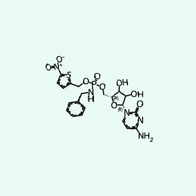 Nc1ccn([C@@H]2O[C@H](COP(=O)(NCc3ccccc3)OCc3ccc([N+](=O)[O-])s3)C(O)C2O)c(=O)n1